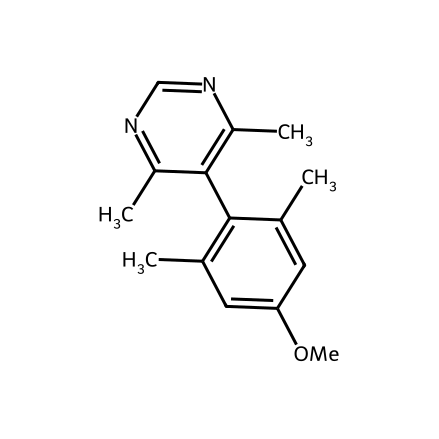 COc1cc(C)c(-c2c(C)ncnc2C)c(C)c1